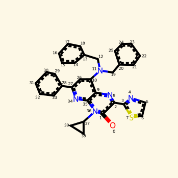 O=c1c(-c2nccs2)nc2c(N(Cc3ccccc3)Cc3ccccc3)cc(-c3ccccc3)nc2n1C1CC1